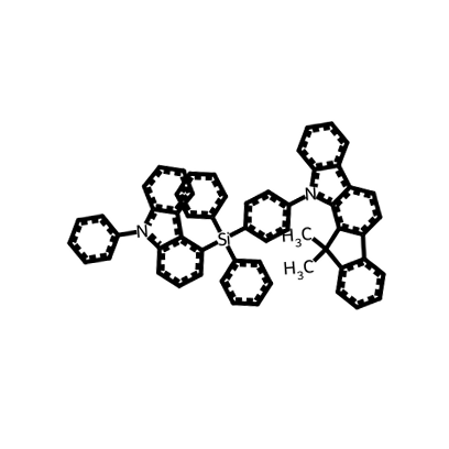 CC1(C)c2ccccc2-c2ccc3c4ccccc4n(-c4ccc([Si](c5ccccc5)(c5ccccc5)c5cccc6c5c5ccccc5n6-c5ccccc5)cc4)c3c21